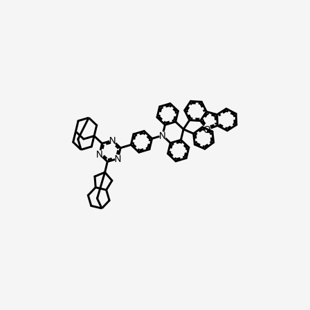 c1ccc(C2(c3cccc4c3oc3ccccc34)c3ccccc3N(c3ccc(-c4nc(C56CC7CC(CC(C7)C5)C6)nc(C56CC7CCC(C5)C(C7)C6)n4)cc3)c3ccccc32)cc1